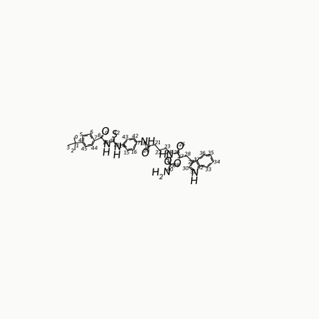 CC(C)(C)c1ccc(C(=O)NC(=S)Nc2ccc(NC(=O)CCCNC(=O)C(Cc3c[nH]c4ccccc34)OC(N)=O)cc2)cc1